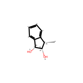 C[C@H]1c2ccccc2[C@@H](O)[C@H]1O